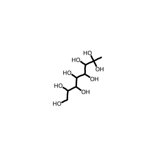 CC(O)(O)C(O)C(O)C(O)C(O)C(O)CO